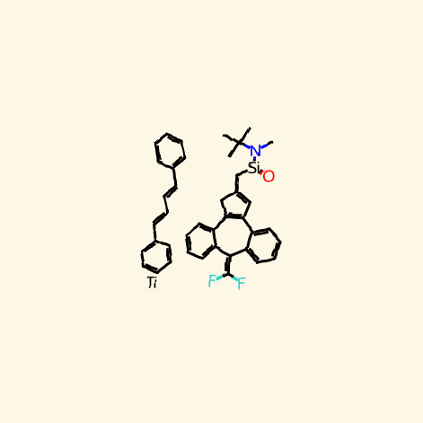 C(C=Cc1ccccc1)=Cc1ccccc1.CN([Si](=O)CC1=CC2=C(C1)c1ccccc1C(=C(F)F)c1ccccc12)C(C)(C)C.[Ti]